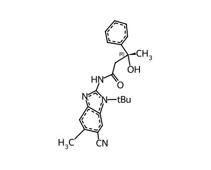 Cc1cc2nc(NC(=O)C[C@@](C)(O)c3ccccc3)n(C(C)(C)C)c2cc1C#N